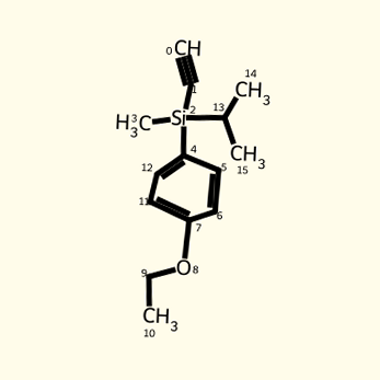 C#C[Si](C)(c1ccc(OCC)cc1)C(C)C